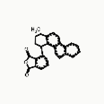 O.O=C1OC(=O)c2c1cccc2C1CCCc2ccc3c(ccc4ccccc43)c21